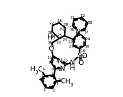 Cc1cccc(C)c1-c1cc2nc(n1)NS(=O)(=O)c1cccc(c1)C1[C@H](CCC[C@@H]1c1ccccn1)CO2